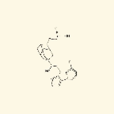 O=C(O)COC1C2CC3CC1CC(C(O)CC1c4c(F)cccc4-c4cncn41)(C3)C2